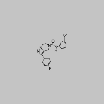 O=C(Nc1cccc(C2CC2)c1)N1CCn2ncc(-c3ccc(F)cc3)c2C1